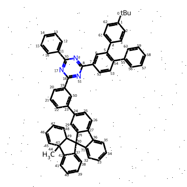 CC(C)(C)c1ccc(-c2cc(-c3nc(-c4ccccc4)nc(-c4cccc(-c5ccc6c(c5)C5(c7ccccc7-6)c6ccccc6C6(C)C=CC=CC65)c4)n3)ccc2-c2ccccc2)cc1